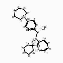 Cl.ClC1(C2=C(SCc3ccc(N4CCCCCC4)cn3)C=CC=CN2)CCCCC1